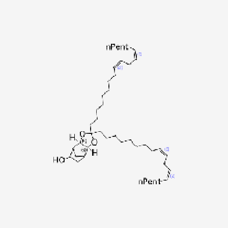 CCCCC/C=C\C/C=C\CCCCCCCCC1(CCCCCCCC/C=C\C/C=C\CCCCC)O[C@@H]2C3CC(CC3O)[C@@H]2O1